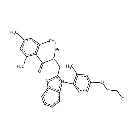 Cc1cc(C)c(C(=O)N(Cc2nc3ccccc3n2-c2ccc(OCCO)cc2C)C(C)C)c(C)c1